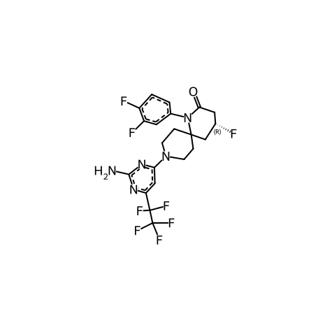 Nc1nc(N2CCC3(CC2)C[C@@H](F)CC(=O)N3c2ccc(F)c(F)c2)cc(C(F)(F)C(F)(F)F)n1